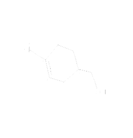 OCC1CC=C(Cl)CC1